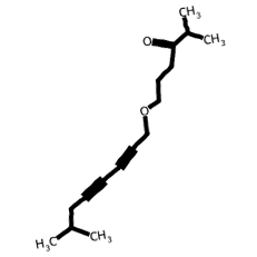 CC(C)CC#CC#CCOCCCC(=O)C(C)C